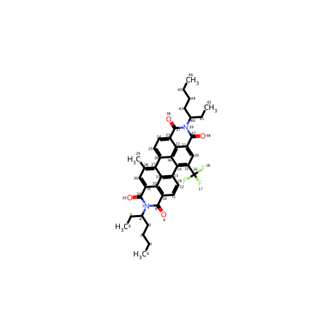 CCCCC(CC)N1C(=O)c2ccc3c4c(C(F)(F)F)cc5c6c(ccc(c7c(C)cc(c2c37)C1=O)c64)C(=O)N(C(CC)CCCC)C5=O